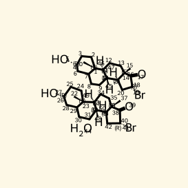 C[C@]12CC[C@@H](O)CC1CC[C@@H]1[C@@H]2CC[C@]2(C)C(=O)[C@H](Br)C[C@@H]12.C[C@]12CC[C@@H](O)CC1CC[C@@H]1[C@@H]2CC[C@]2(C)C(=O)[C@H](Br)C[C@@H]12.O